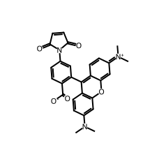 CN(C)c1ccc2c(-c3cc(N4C(=O)C=CC4=O)ccc3C(=O)[O-])c3ccc(=[N+](C)C)cc-3oc2c1